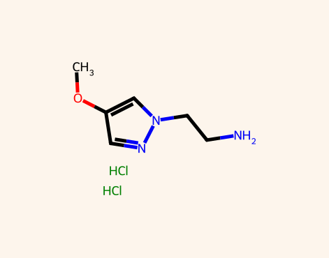 COc1cnn(CCN)c1.Cl.Cl